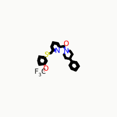 O=C(c1cccc(CSc2cccc(OC(F)(F)F)c2)n1)N1CCC(c2ccccc2)CC1